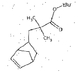 CC(C)(C)OC(=O)C(C)(C)CC1CC2C=CC1C2